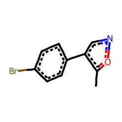 Cc1oncc1-c1ccc(Br)cc1